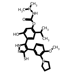 COc1ccc(-c2c(S)n[nH]c2-c2cc(C(C)C)c(OC(=O)NN(C)C)cc2O)cc1N1CCCC1